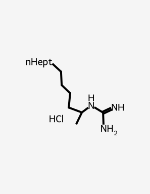 CCCCCCCCCCCC(C)NC(=N)N.Cl